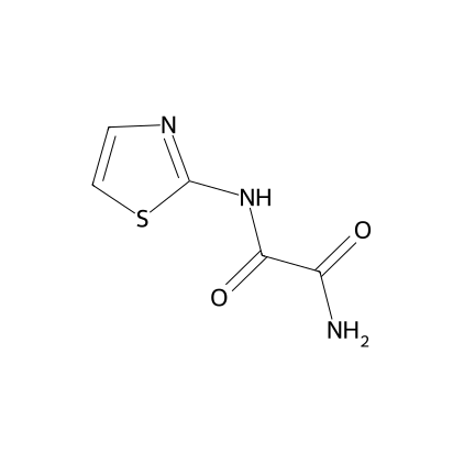 NC(=O)C(=O)Nc1nccs1